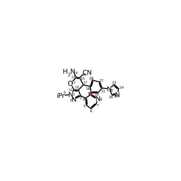 CC(C)n1nc(-c2cccnc2)c2c1OC(N)=C(C#N)C2c1ccc(-n2ccnc2)cc1